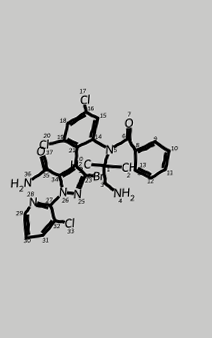 CC(C)(CN)N(C(=O)c1ccccc1)c1cc(Cl)cc(Cl)c1-c1c(Br)nn(-c2ncccc2Cl)c1C(N)=O